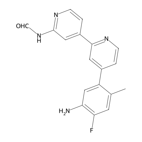 Cc1cc(F)c(N)cc1-c1ccnc(-c2ccnc(NC=O)c2)c1